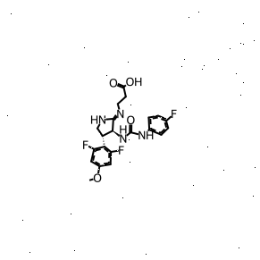 COc1cc(F)c([C@@H]2CN/C(=N\CCC(=O)O)[C@H]2NC(=O)Nc2ccc(F)cc2)c(F)c1